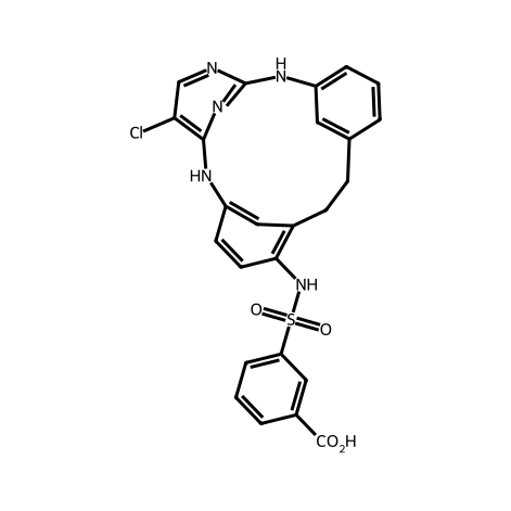 O=C(O)c1cccc(S(=O)(=O)Nc2ccc3cc2CCc2cccc(c2)Nc2ncc(Cl)c(n2)N3)c1